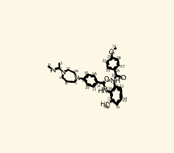 CN=C(C)N1CCCN(c2ccc(C(=O)Nc3c(O)cccc3NC(=O)c3ccc(OC)cc3)cc2)CC1